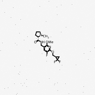 COc1nc(OCC2CC2(F)F)c(F)cc1CNC(=O)[C@@H]1CCCN1C